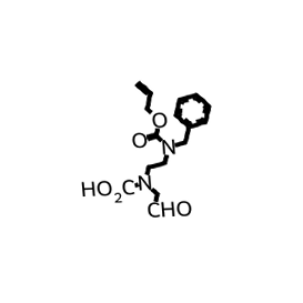 C=CCOC(=O)N(CCN(CC=O)C(=O)O)Cc1ccccc1